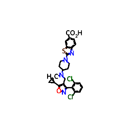 CN(Cc1c(-c2c(Cl)cccc2Cl)noc1C1CC1)C1CCN(c2nc3ccc(C(=O)O)cc3s2)CC1